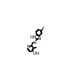 Cc1c(O)ccnc1CSc1nc2cc(F)ccc2[nH]1